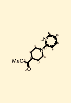 COC(=O)C1CCN(c2ccccn2)CC1